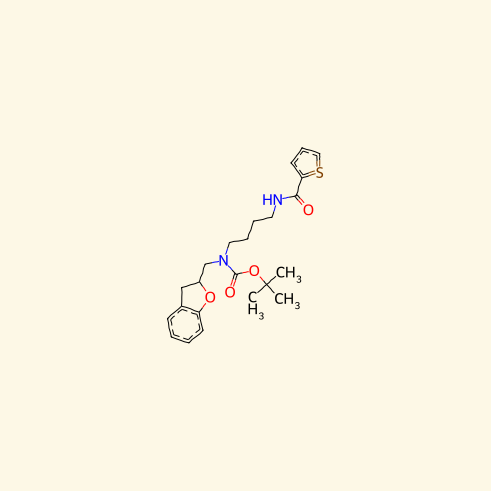 CC(C)(C)OC(=O)N(CCCCNC(=O)c1cccs1)CC1Cc2ccccc2O1